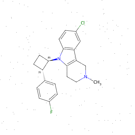 CN1CCc2c(c3cc(Cl)ccc3n2[C@@H]2CC[C@H]2c2ccc(F)cc2)C1